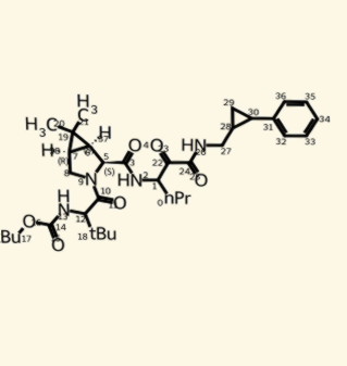 CCCC(NC(=O)[C@@H]1[C@H]2[C@@H](CN1C(=O)C(NC(=O)OC(C)(C)C)C(C)(C)C)C2(C)C)C(=O)C(=O)NCC1CC1c1ccccc1